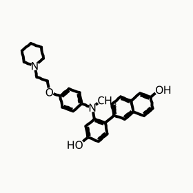 CN(c1ccc(OCCN2CCCCC2)cc1)c1cc(O)ccc1-c1ccc2cc(O)ccc2c1